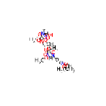 C=CCOC(=O)N1C[C@@H]2CC(c3ccc(C4CCN(C(=O)OC(C)(C)C)CC4)cc3)=CN2C(=O)c2cc(OC)c(OCCCCCOc3cc4c(cc3OC)C(=O)N3CC5(CC5)C[C@H]3C(O)N4C(=O)OCC=C)cc21